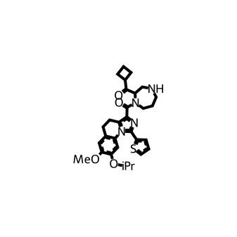 COc1cc2c(cc1OC(C)C)-n1c(-c3cccs3)nc(C(=O)N3CCCNCC3C(=O)C3CCC3)c1CC2